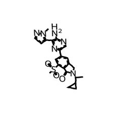 CC(C1CC1)N1Cc2cc(-c3cnc(N)c(-c4ccnn4C)n3)cc(S(C)(=O)=O)c2C1=O